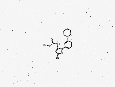 CC(C)(C)OC(=O)Nc1cc(C(C)(C)C)nn1-c1cccc(N2CCOCC2)c1